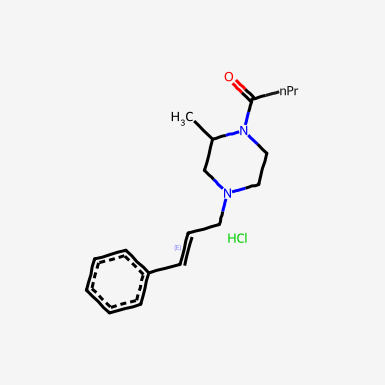 CCCC(=O)N1CCN(C/C=C/c2ccccc2)CC1C.Cl